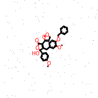 COc1ccc(C2(O)OC(=O)C(C3=CCOO3)=C2Cc2ccc(OCc3ccccc3)c(OC)c2)cc1